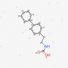 O=C(O)NCCc1ccc(-c2ccccc2)cc1